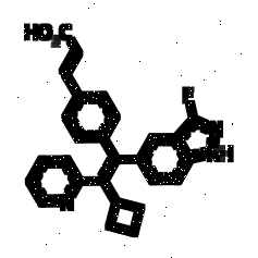 O=C(O)/C=C/c1ccc(/C(=C(\c2ccccn2)C2CCC2)c2ccc3[nH]nc(F)c3c2)cc1